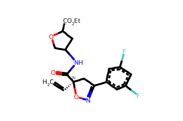 C=C[C@]1(C(=O)NC2COC(C(=O)OCC)C2)CC(c2cc(F)cc(F)c2)=NO1